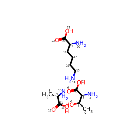 C[C@@H](O)[C@H](N)C(=O)O.C[C@H](N)C(=O)O.NCCCC[C@H](N)C(=O)O